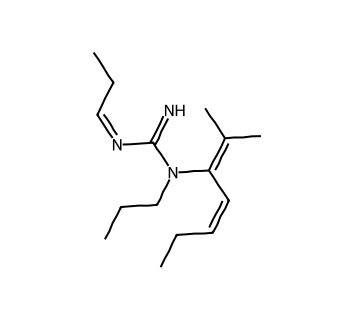 CC/C=C\C(=C(C)C)N(CCC)C(=N)/N=C\CC